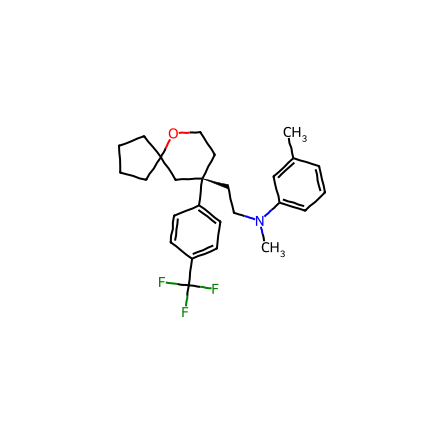 Cc1cccc(N(C)CC[C@]2(c3ccc(C(F)(F)F)cc3)CCOC3(CCCC3)C2)c1